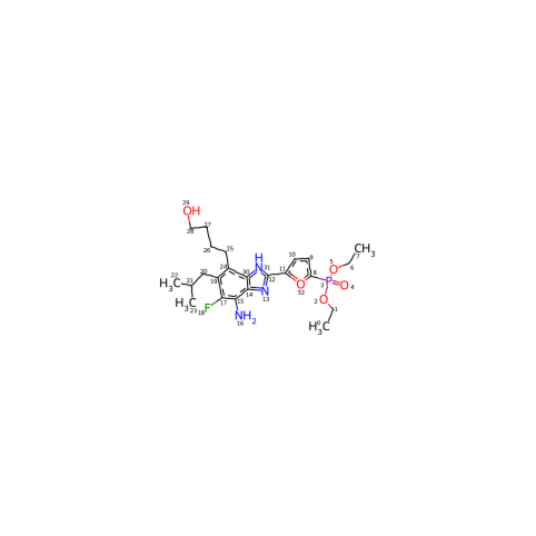 CCOP(=O)(OCC)c1ccc(-c2nc3c(N)c(F)c(CC(C)C)c(CCCCO)c3[nH]2)o1